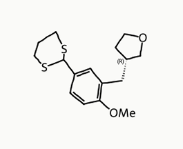 COc1ccc(C2SCCCS2)cc1C[C@@H]1CCOC1